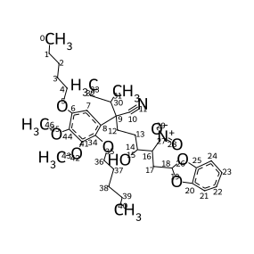 CCCCCOc1cc(C(C#N)(CCC(O)C(CC2Oc3ccccc3O2)[N+](=O)[O-])C(C)CC)c(OCCCCC)c(OC)c1OC